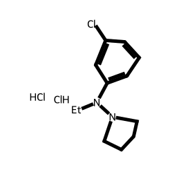 CCN(c1cccc(Cl)c1)N1CCCC1.Cl.Cl